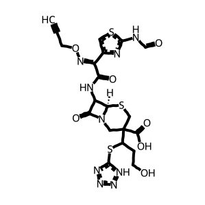 C#CCON=C(C(=O)NC1C(=O)N2CC(C(=O)O)(C(CCO)Sc3nnn[nH]3)CS[C@H]12)c1csc(NC=O)n1